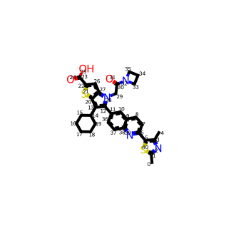 Cc1nc(C)c(-c2ccc3cc(-c4c(C5CCCCC5)c5sc(C(=O)O)cc5n4CC(=O)N4CCC4)ccc3n2)s1